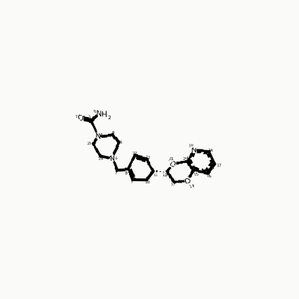 NC(=O)N1CCN(CC2=CCC([C@H]3COc4cccnc4O3)C=C2)CC1